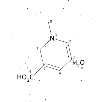 CN1C=CC=C(C(=O)O)C1.O